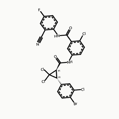 N#Cc1cc(F)ccc1NC(=O)c1cc(NC(=O)[C@H]2[C@H](c3ccc(Br)c(Cl)c3)C2(Cl)Cl)ccc1Cl